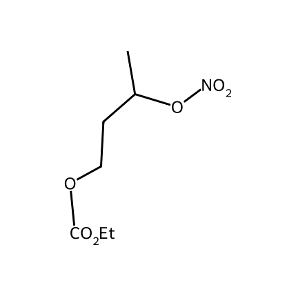 [CH2]COC(=O)OCCC(C)O[N+](=O)[O-]